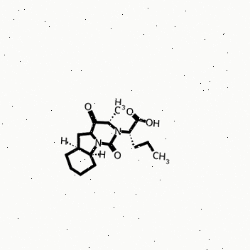 CCC[C@@H](C(=O)O)N1C(=O)N2C(C[C@@H]3CCCC[C@@H]32)C(=O)[C@@H]1C